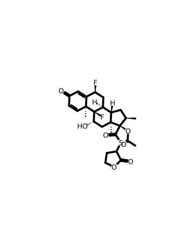 CC(=O)O[C@]1(C(=O)SC2CCOC2=O)[C@H](C)C[C@H]2[C@@H]3C[C@H](F)C4=CC(=O)C=C[C@]4(C)[C@@]3(F)[C@@H](O)C[C@@]21C